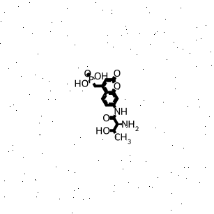 CC(O)[C@H](N)C(=O)Nc1ccc2c(CP(=O)(O)O)cc(=O)oc2c1